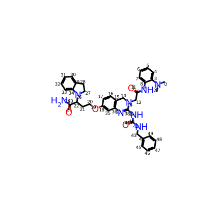 CN(C)c1ccccc1NC(=O)CN1Cc2ccc(OCCC(C(N)=O)N3CCc4ccccc43)cc2N=C1NC(=O)NCc1ccccc1